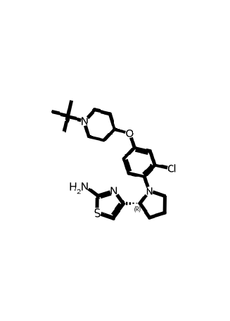 CC(C)(C)N1CCC(Oc2ccc(N3CCC[C@@H]3c3csc(N)n3)c(Cl)c2)CC1